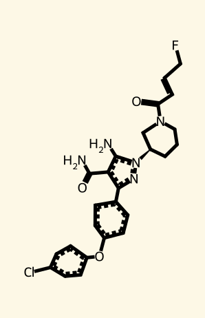 NC(=O)c1c(-c2ccc(Oc3ccc(Cl)cc3)cc2)nn([C@@H]2CCCN(C(=O)C=CCF)C2)c1N